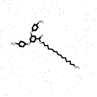 CCCCCCCCCCCCCCCCOC(=O)c1cc(Oc2ccc(N)cc2)cc(Oc2ccc(N)cc2)c1